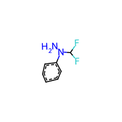 NN(c1ccccc1)C(F)F